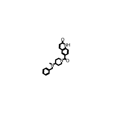 CN(Cc1ccccc1)C1CCN(C(=O)c2ccc3[nH]c(=O)ccc3c2)CC1